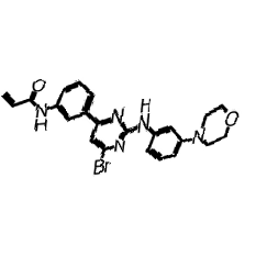 C=CC(=O)Nc1cccc(-c2cc(Br)nc(Nc3cccc(N4CCOCC4)c3)n2)c1